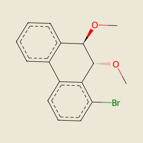 CO[C@@H]1c2ccccc2-c2cccc(Br)c2[C@H]1OC